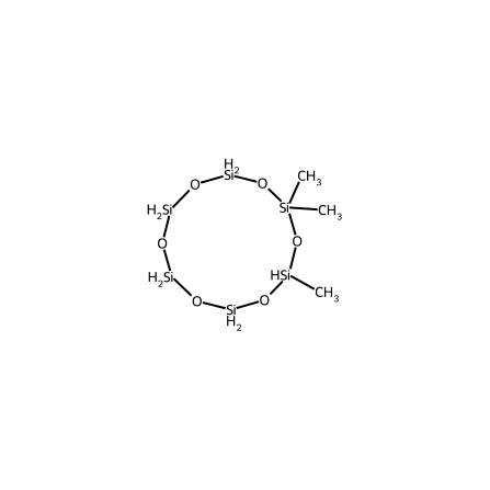 C[SiH]1O[SiH2]O[SiH2]O[SiH2]O[SiH2]O[Si](C)(C)O1